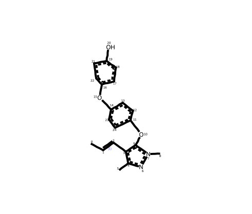 C/C=C/c1c(C)nn(C)c1Oc1ccc(Oc2ccc(O)cc2)cc1